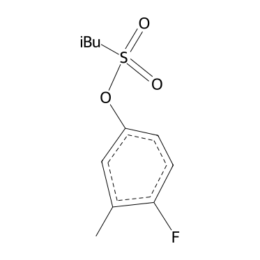 CCC(C)S(=O)(=O)Oc1ccc(F)c(C)c1